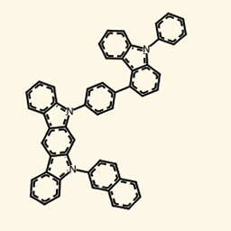 c1ccc(-n2c3ccccc3c3c(-c4ccc(-n5c6ccccc6c6cc7c8ccccc8n(-c8ccc9ccccc9c8)c7cc65)cc4)cccc32)cc1